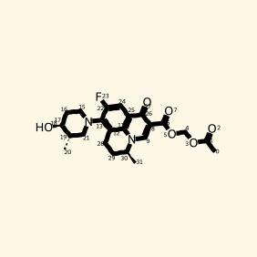 CC(=O)OCOC(=O)c1cn2c3c(c(N4CC[C@H](O)[C@@H](C)C4)c(F)cc3c1=O)CC[C@@H]2C